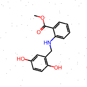 COC(=O)c1ccccc1NCc1cc(O)ccc1O